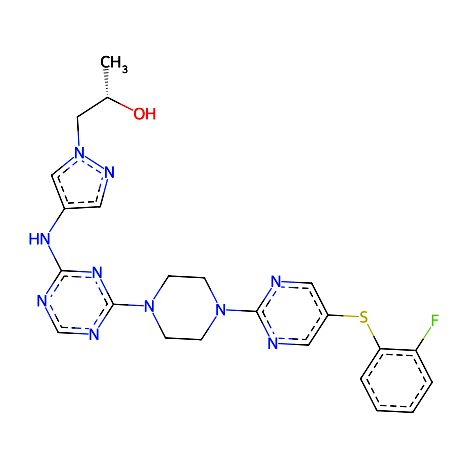 C[C@H](O)Cn1cc(Nc2ncnc(N3CCN(c4ncc(Sc5ccccc5F)cn4)CC3)n2)cn1